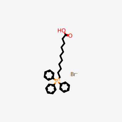 O=C(O)CCCCCCCCCC[P+](c1ccccc1)(c1ccccc1)c1ccccc1.[Br-]